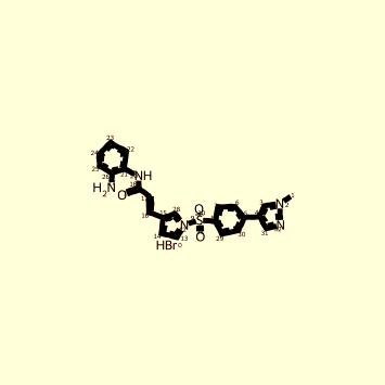 Br.Cn1cc(-c2ccc(S(=O)(=O)n3ccc(C=CC(=O)Nc4ccccc4N)c3)cc2)cn1